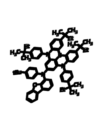 CCC(C)(C)c1ccc(N2c3ccc(C(C)(C)CC)cc3B3c4cc(C(C)(C)CC)ccc4N(c4ccc(C(C)(C)CC)cc4)c4cc(N(c5ccc(C(C)(C)C)cc5)c5cccc6c5oc5ccccc56)cc2c43)cc1